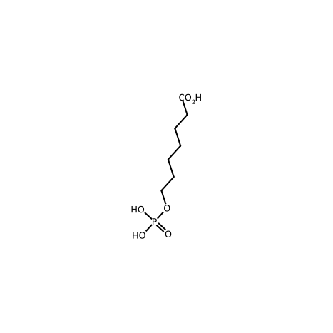 O=C(O)CCCCCCOP(=O)(O)O